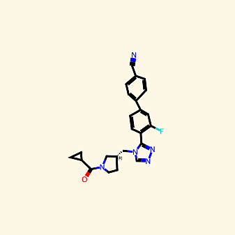 N#Cc1ccc(-c2ccc(-c3nncn3C[C@@H]3CCN(C(=O)C4CC4)C3)c(F)c2)cc1